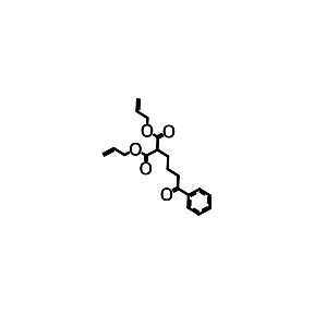 C=CCOC(=O)C(CCCC(=O)c1ccccc1)C(=O)OCC=C